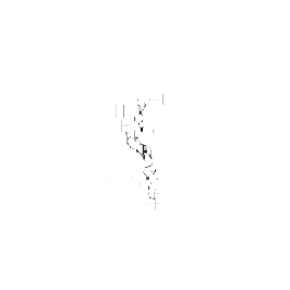 Cc1cc(Cn2cc3c(C(=O)NC[C@H](O)CO)nccc3n2)cnc1OCCC(F)(F)F